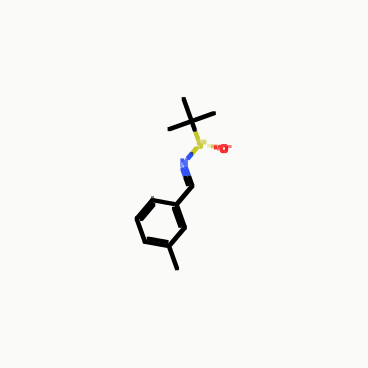 Cc1cc[c]c(/C=N/[S@@+]([O-])C(C)(C)C)c1